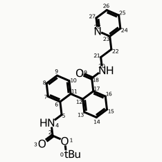 CC(C)(C)OC(=O)NCc1ccccc1-c1ccccc1C(=O)NCCc1ccccn1